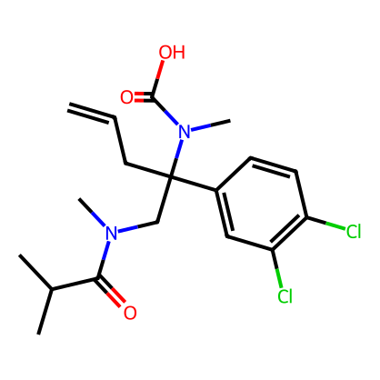 C=CCC(CN(C)C(=O)C(C)C)(c1ccc(Cl)c(Cl)c1)N(C)C(=O)O